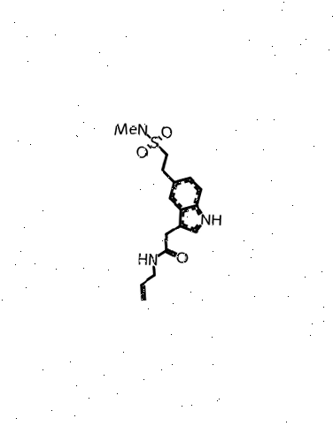 C=CCNC(=O)Cc1c[nH]c2ccc(CCS(=O)(=O)NC)cc12